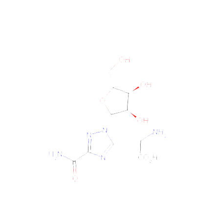 NC(=O)c1ncn([C@@H]2O[C@H](CO)[C@@H](O)[C@H]2O)n1.NCC(=O)O